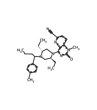 CCCC(c1ccc(C)cc1)N1C[C@H](CC)N(c2nc(=O)n(C)c3ccc(C#N)nc23)C[C@H]1CC